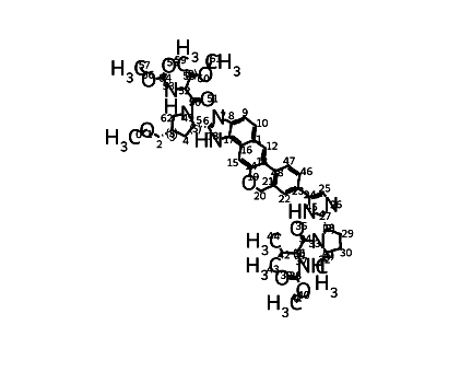 COC[C@H]1C[C@@H](c2nc3ccc4cc5c(cc4c3[nH]2)OCc2cc(-c3cnc([C@@H]4CC[C@H](C)N4C(=O)[C@@H](NC(=O)OC)C(C)C)[nH]3)ccc2-5)N(C(=O)C(NC(=O)OC)[C@@H](C)OC)C1